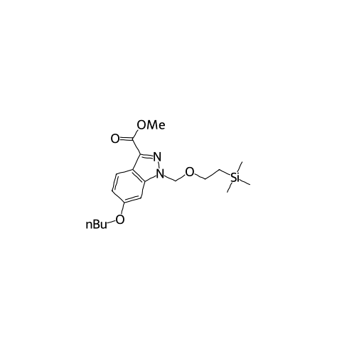 CCCCOc1ccc2c(C(=O)OC)nn(COCC[Si](C)(C)C)c2c1